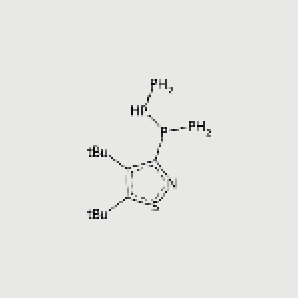 CC(C)(C)c1snc(P(P)PP)c1C(C)(C)C